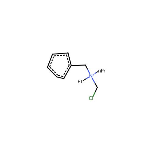 CCC[N+](CC)(CCl)Cc1ccccc1